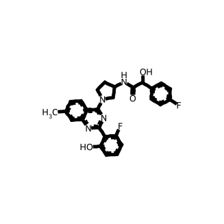 Cc1ccc2c(N3CCC(NC(=O)C(O)c4ccc(F)cc4)C3)nc(-c3c(O)cccc3F)nc2c1